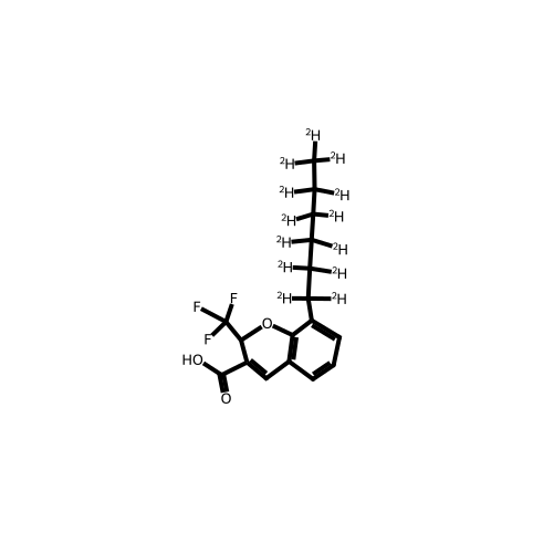 [2H]C([2H])([2H])C([2H])([2H])C([2H])([2H])C([2H])([2H])C([2H])([2H])C([2H])([2H])c1cccc2c1OC(C(F)(F)F)C(C(=O)O)=C2